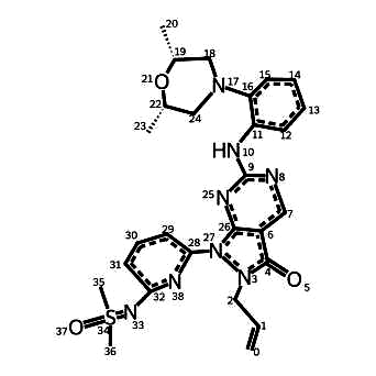 C=CCn1c(=O)c2cnc(Nc3ccccc3N3C[C@@H](C)O[C@@H](C)C3)nc2n1-c1cccc(N=S(C)(C)=O)n1